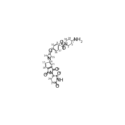 NC1CCN(S(=O)(=O)c2ccc(OC3CN(c4ccc5c(c4)C(=O)N(C4CCC(=O)NC4=O)C5=O)C3)cc2)CC1